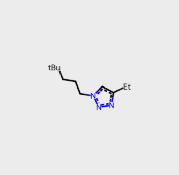 CCc1cn(CCCC(C)(C)C)nn1